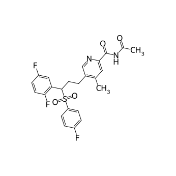 CC(=O)NC(=O)c1cc(C)c(CCC(c2cc(F)ccc2F)S(=O)(=O)c2ccc(F)cc2)cn1